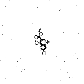 CCOC(=O)c1cn(C)c2cc(Cl)sc2c1=O